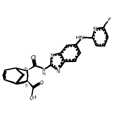 O=C(Nc1nc2ccc(Nc3cccc(F)n3)cc2s1)[C@@H]1C2C=CC(C2)[C@@H]1C(=O)O